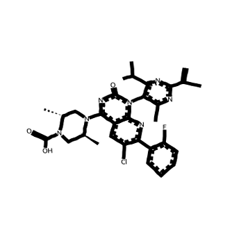 C=C(C)c1nc(C)c(-n2c(=O)nc(N3C[C@@H](C)N(C(=O)O)C[C@@H]3C)c3cc(Cl)c(-c4ccccc4F)nc32)c(C(C)C)n1